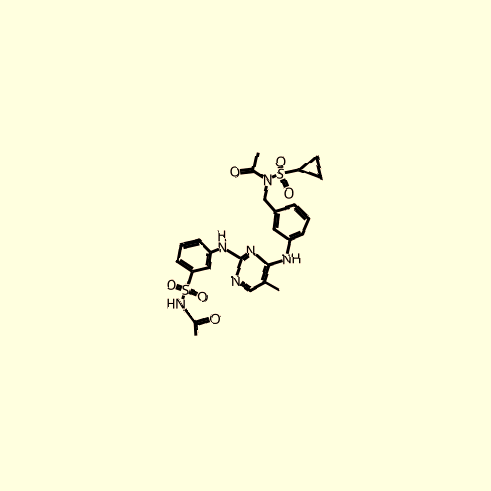 CC(=O)NS(=O)(=O)c1cccc(Nc2ncc(C)c(Nc3cccc(CN(C(C)=O)S(=O)(=O)C4CC4)c3)n2)c1